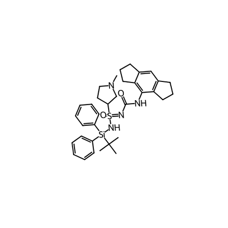 CN1CCC(S(=O)(=NC(=O)Nc2c3c(cc4c2CCC4)CCC3)N[Si](c2ccccc2)(c2ccccc2)C(C)(C)C)C1